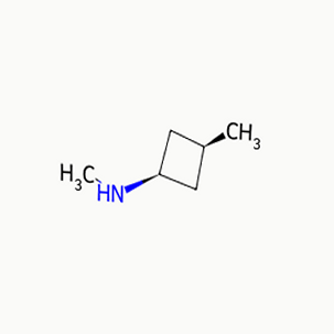 CN[C@H]1C[C@@H](C)C1